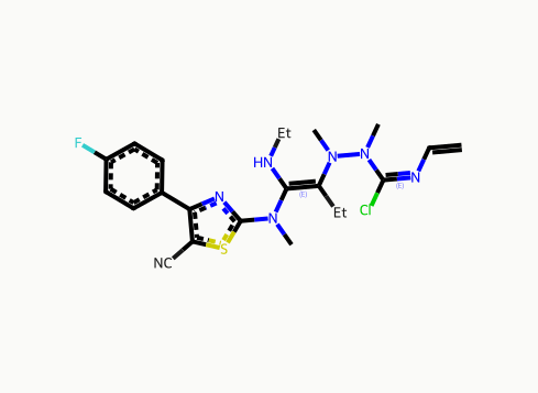 C=C/N=C(/Cl)N(C)N(C)/C(CC)=C(\NCC)N(C)c1nc(-c2ccc(F)cc2)c(C#N)s1